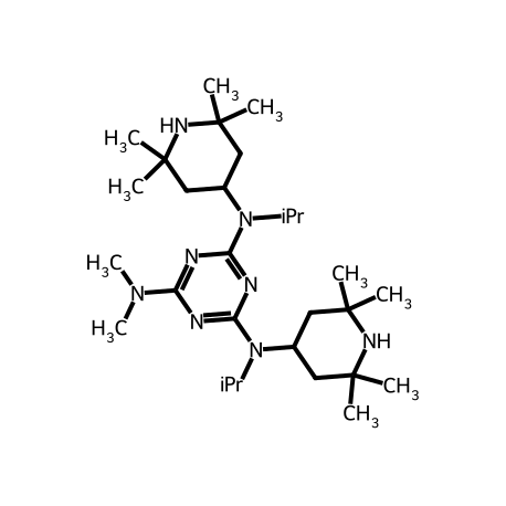 CC(C)N(c1nc(N(C)C)nc(N(C(C)C)C2CC(C)(C)NC(C)(C)C2)n1)C1CC(C)(C)NC(C)(C)C1